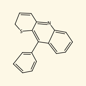 C1=Cc2nc3ccccc3c(-c3ccccc3)c2SC1